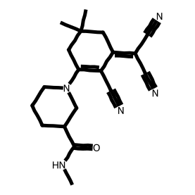 CNC(=O)C1CCCN(C2=C(C#N)C(=C(C#N)C#N)CC(C)(C)C2)C1